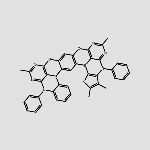 Cc1nc2c3c(n1)N(c1ccccc1)c1ccccc1B3c1cc3c(cc1O2)Oc1nc(C)nc2c1B3c1sc(C)c(C)c1N2c1ccccc1